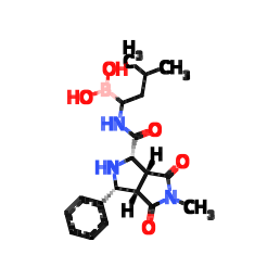 CC(C)CC(NC(=O)[C@H]1N[C@@H](c2ccccc2)[C@H]2C(=O)N(C)C(=O)[C@H]21)B(O)O